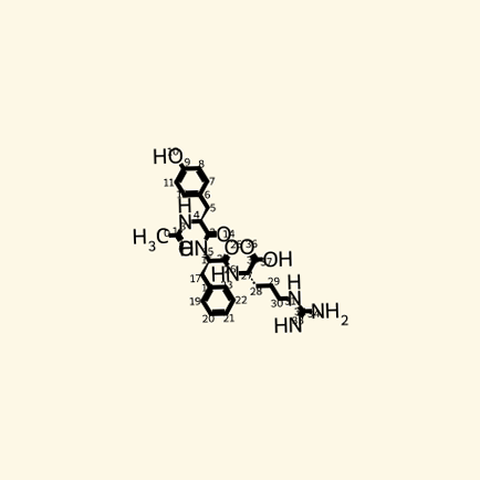 CC(=O)N[C@@H](Cc1ccc(O)cc1)C(=O)N[C@H](Cc1ccccc1)C(=O)N[C@@H](CCCNC(=N)N)C(=O)O